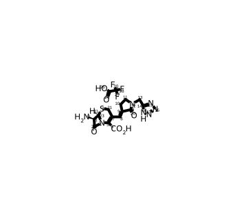 N[C@@H]1C(=O)N2C(C(=O)O)=C(/C=C3\CCN(Cc4nnn[nH]4)C3=O)CS[C@H]12.O=C(O)C(F)(F)F